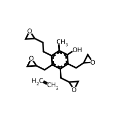 C=C.Cc1c(O)c(CC2CO2)c(CC2CO2)c(CC2CO2)c1CCC1CO1